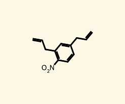 C=CCc1ccc([N+](=O)[O-])c(CC=C)c1